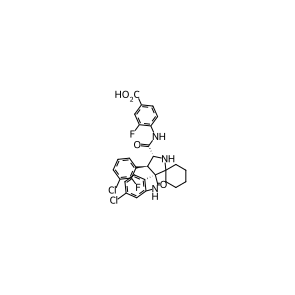 O=C(O)c1ccc(NC(=O)[C@@H]2NC3(CCCCC3)[C@@]3(C(=O)Nc4cc(Cl)ccc43)[C@H]2c2cccc(Cl)c2F)c(F)c1